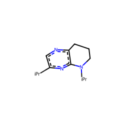 CC(C)c1cnc2c(n1)N(C(C)C)CCC2